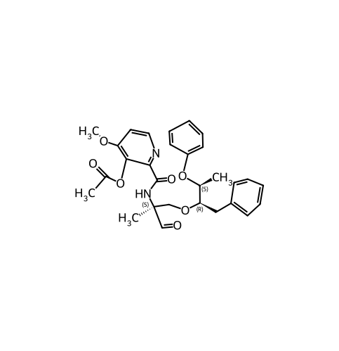 COc1ccnc(C(=O)N[C@](C)(C=O)CO[C@H](Cc2ccccc2)[C@H](C)Oc2ccccc2)c1OC(C)=O